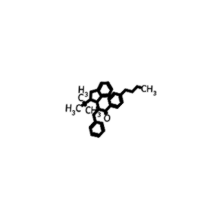 CCCCc1ccc(C(=O)C(Cc2ccccc2)C2c3ccccc3CC2C(C)(C)C)cc1